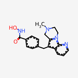 CN1CCn2c(c(Cc3ccc(C(=O)NO)cc3)c3cccnc32)C1